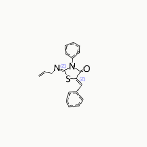 C=CC/N=C1\S/C(=C\c2ccccc2)C(=O)N1c1ccccc1